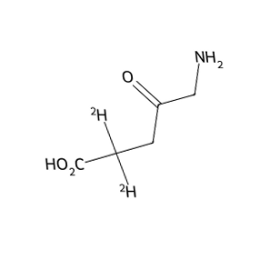 [2H]C([2H])(CC(=O)CN)C(=O)O